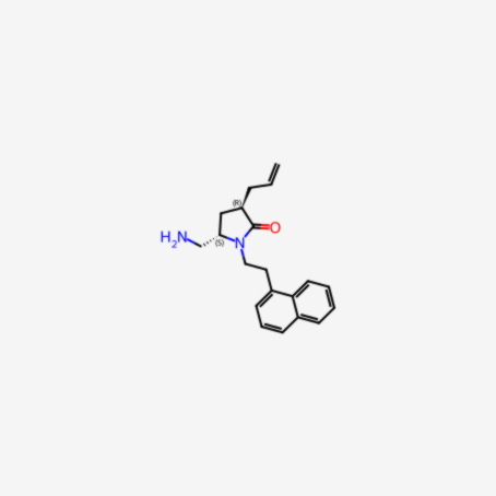 C=CC[C@@H]1C[C@@H](CN)N(CCc2cccc3ccccc23)C1=O